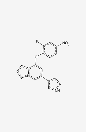 O=[N+]([O-])c1ccc(Oc2cc(-c3cn[nH]c3)cn3nccc23)c(F)c1